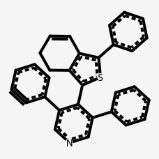 c1cccc(-c2cncc(-c3ccccc3)c2-c2sc(-c3ccccc3)c3c2CCC=C3)c#1